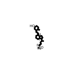 C=C1CCC(O)C/C1=C/C=C1\CCC[C@]2(C)C(C(C)C/C=C(\F)S(C)(=O)=O)=CC[C@@H]12